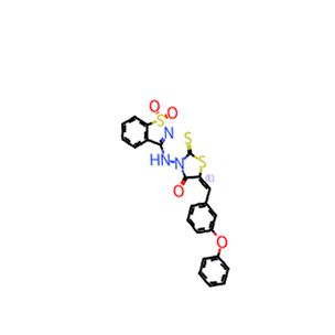 O=C1/C(=C\c2cccc(Oc3ccccc3)c2)SC(=S)N1NC1=NS(=O)(=O)c2ccccc21